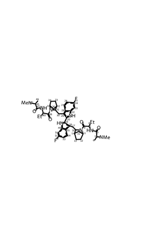 CCC(NC(=O)C(C)NC)C(=O)N1C2CCC(C2)C1Cc1c(-c2[nH]c3cc(F)ccc3c2CC2C3CCC(C3)N2C(=O)C(CC)NC(=O)C(C)NC)[nH]c2cc(F)ccc12